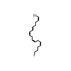 CC/C=C\CC/C=C/C=C\C/C=C\C/C=C\CCCF